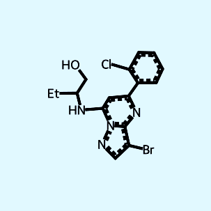 CCC(CO)Nc1cc(-c2ccccc2Cl)nc2c(Br)cnn12